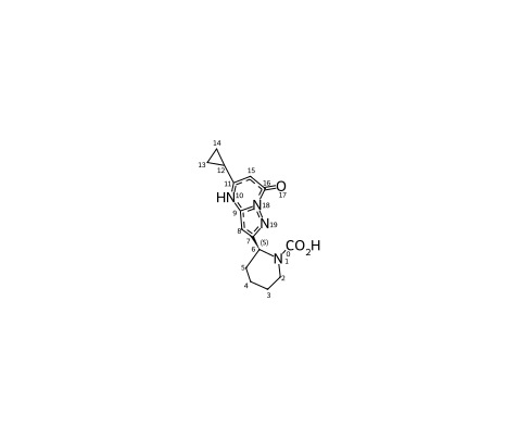 O=C(O)N1CCCC[C@H]1c1cc2[nH]c(C3CC3)cc(=O)n2n1